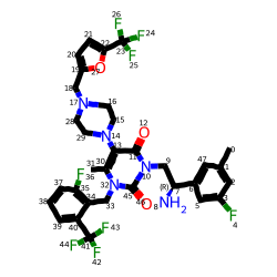 Cc1cc(F)cc([C@@H](N)Cn2c(=O)c(N3CCN(Cc4ccc(C(F)(F)F)o4)CC3)c(C)n(Cc3c(F)cccc3C(F)(F)F)c2=O)c1